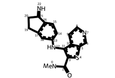 CNC(=O)c1sc2cnccc2c1Nc1ccc2c(c1)CCC2=N